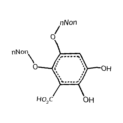 CCCCCCCCCOc1cc(O)c(O)c(C(=O)O)c1OCCCCCCCCC